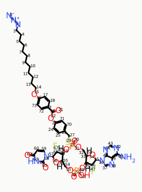 [N-]=[N+]=NCCCCCCCCCCCCOc1ccc(C(=O)Oc2ccc(CSP3(=O)OC[C@H]4O[C@@H](n5cnc6c(N)ncnc65)[C@H](F)[C@@H]4OP(=O)(O)OC[C@H]4O[C@@H](n5ccc(=O)[nH]c5=O)[C@H](F)[C@@H]4O3)cc2)cc1